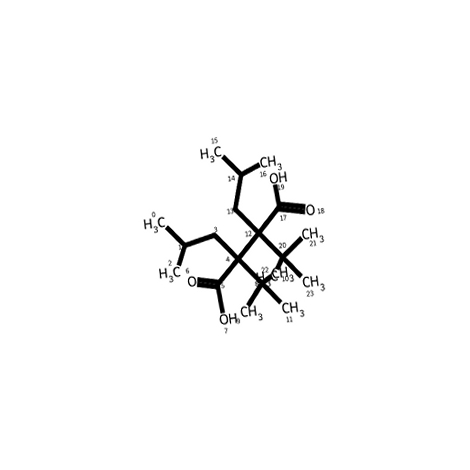 CC(C)CC(C(=O)O)(C(C)(C)C)C(CC(C)C)(C(=O)O)C(C)(C)C